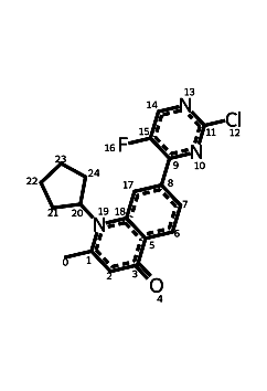 Cc1cc(=O)c2ccc(-c3nc(Cl)ncc3F)cc2n1C1CCCC1